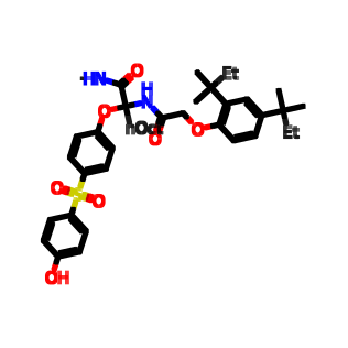 CCCCCCCCC(NC(=O)COc1ccc(C(C)(C)CC)cc1C(C)(C)CC)(Oc1ccc(S(=O)(=O)c2ccc(O)cc2)cc1)C([NH])=O